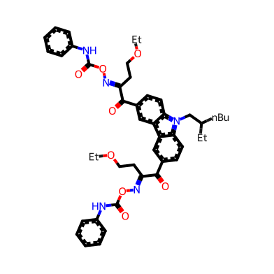 CCCCC(CC)Cn1c2ccc(C(=O)/C(CCOCC)=N/OC(=O)Nc3ccccc3)cc2c2cc(C(=O)/C(CCOCC)=N/OC(=O)Nc3ccccc3)ccc21